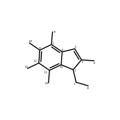 CCC1C(C)=Cc2c(C)c(C)c(C)c(C)c21